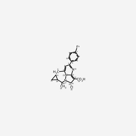 CC1=CC(c2ccc(F)cc2)=NC2=C(C(=O)O)[C@H](Cl)N(C(C)C3CC3)N12